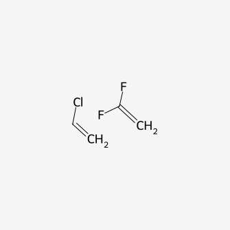 C=C(F)F.C=CCl